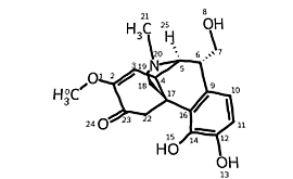 COC1=CC2[C@@H]3[C@H](CO)c4ccc(O)c(O)c4[C@]2(CCN3C)CC1=O